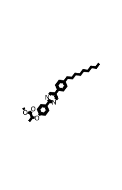 CCCCCCCCCc1ccc(-c2cnc(-c3ccc(OC(C)C(=O)OC)cc3)nc2)cc1